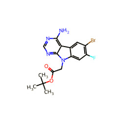 CC(C)(C)OC(=O)Cn1c2cc(F)c(Br)cc2c2c(N)ncnc21